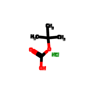 CC(C)(C)OC(=O)O.Cl